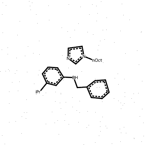 CC(C)c1cccc(BCc2ccccc2)c1.CCCCCCCCn1ccnc1